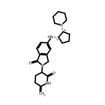 C=C1CCC(N2Cc3cc(N[C@H]4CCC[C@H]4N4CCCCC4)ccc3C2=O)C(=O)N1